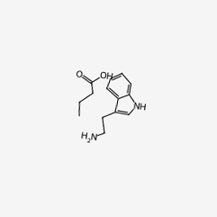 CCCC(=O)O.NCCc1c[nH]c2ccccc12